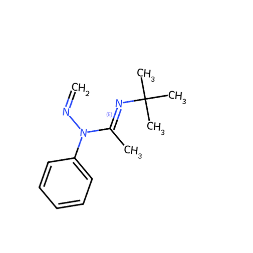 C=NN(/C(C)=N/C(C)(C)C)c1ccccc1